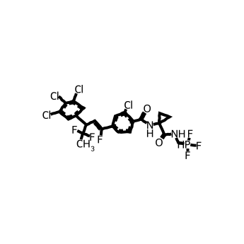 CC(F)(F)C(/C=C(\F)c1ccc(C(=O)NC2(C(=O)NC[PH](F)(F)F)CC2)c(Cl)c1)c1cc(Cl)c(Cl)c(Cl)c1